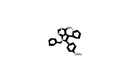 COc1ccc(-c2c(-c3ccccc3)c3c(N)ncnc3n2Cc2ccccc2)cc1